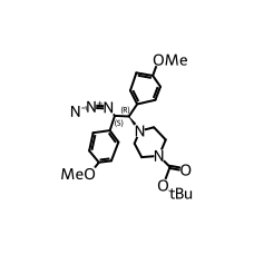 COc1ccc([C@H]([C@@H](N=[N+]=[N-])c2ccc(OC)cc2)N2CCN(C(=O)OC(C)(C)C)CC2)cc1